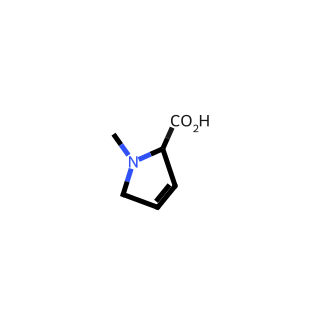 CN1CC=CC1C(=O)O